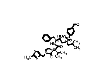 Cc1nc(CN2CCN([C@H](C(=O)N[C@@H](Cc3ccccc3)[C@@H](O)CN(CC(C)C)S(=O)(=O)c3ccc(C=O)cc3)C(C)C)C2=O)cs1